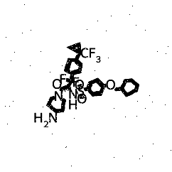 NC1CCN(C(=O)[C@H](NS(=O)(=O)c2ccc(OCC3CCCCC3)cc2)C(F)(F)c2ccc(C3(C(F)(F)F)CC3)cc2)CC1